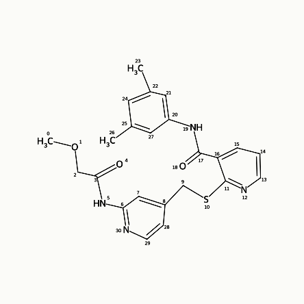 COCC(=O)Nc1cc(CSc2ncccc2C(=O)Nc2cc(C)cc(C)c2)ccn1